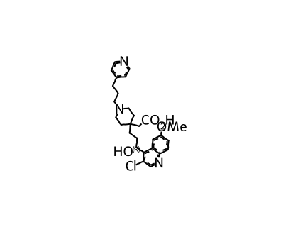 COc1ccc2ncc(Cl)c([C@H](O)CCC3(CC(=O)O)CCN(CCCc4ccncc4)CC3)c2c1